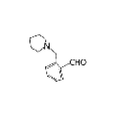 O=Cc1ccccc1CN1CCCCC1